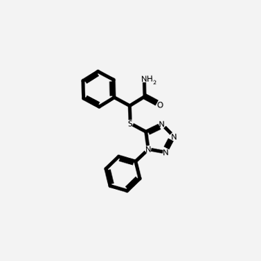 NC(=O)C(Sc1nnnn1-c1ccccc1)c1ccccc1